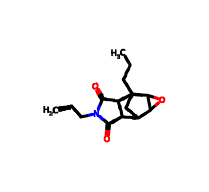 C=CCN1C(=O)C2C3CC(CCC)(C4OC34)C2C1=O